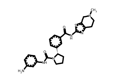 CN1CCc2nc(NC(=O)c3cccc([C@@H]4CCCN4C(=O)Nc4cccc(N)c4)c3)sc2C1